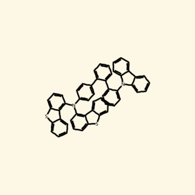 c1ccc(-c2ccccc2-n2c3ccccc3c3ccccc32)c(-c2ccc(N(c3cccc4sc5ccccc5c34)c3cccc4sc5ccccc5c34)cc2)c1